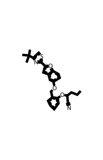 CCCC(C#N)Oc1ccccc1COc1ccc2oc(-c3nc(C(C)(C)C)cs3)cc2c1